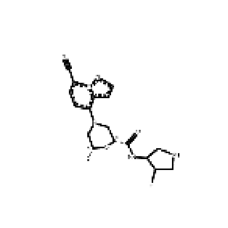 C[C@@H]1CN(c2ccc(C#N)n3nccc23)C[C@H](C(=O)NC2CNCC2F)O1